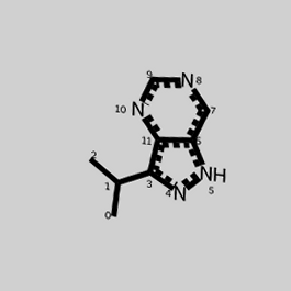 CC(C)c1n[nH]c2cncnc12